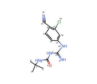 CC(C)(C)NC(=O)NC(=N)Nc1ccc(C#N)c(Cl)c1